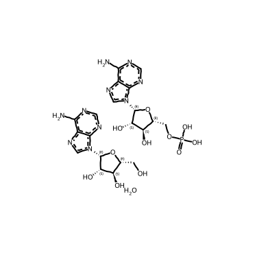 Nc1ncnc2c1ncn2[C@@H]1O[C@H](CO)[C@@H](O)[C@@H]1O.Nc1ncnc2c1ncn2[C@@H]1O[C@H](COP(=O)(O)O)[C@@H](O)[C@@H]1O.O